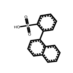 O=S(=O)(O)c1ccccc1-c1cccc2ccccc12